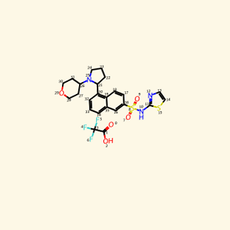 O=C(O)C(F)(F)F.O=S(=O)(Nc1nccs1)c1ccc2c(C3CCCN3C3CCOCC3)cccc2c1